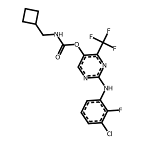 O=C(NCC1CCC1)Oc1cnc(Nc2cccc(Cl)c2F)nc1C(F)(F)F